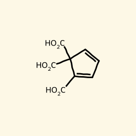 O=C(O)C1=CC=CC1(C(=O)O)C(=O)O